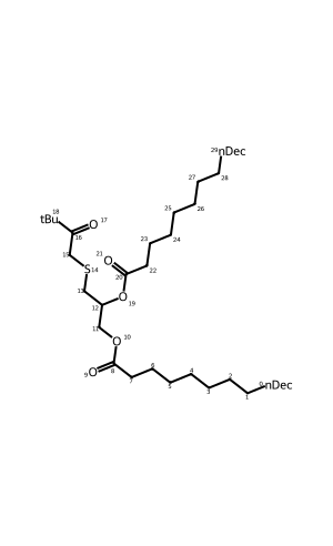 CCCCCCCCCCCCCCCCCC(=O)OCC(CSCC(=O)C(C)(C)C)OC(=O)CCCCCCCCCCCCCCCCC